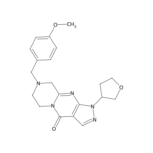 COc1ccc(CN2CCn3c(nc4c(cnn4C4CCOC4)c3=O)C2)cc1